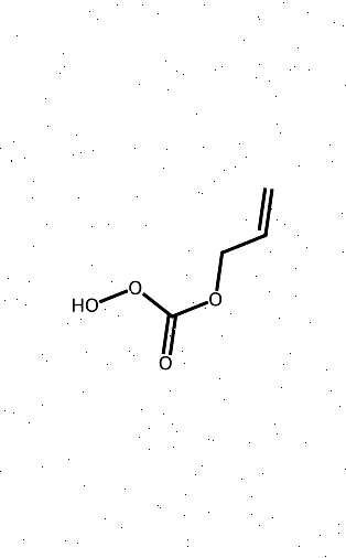 C=CCOC(=O)OO